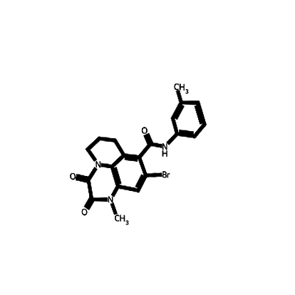 Cc1cccc(NC(=O)c2c(Br)cc3c4c2CCCn4c(=O)c(=O)n3C)c1